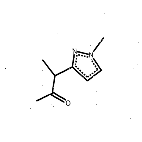 CC(=O)C(C)c1ccn(C)n1